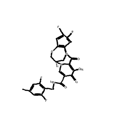 Cc1cc(F)c(CNC(=O)c2cn3c(c(O)c2=O)C(=O)N2C[C@@H]3COc3cc(F)c(F)cc32)c(F)c1